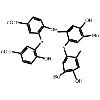 CCCCCCCCc1ccc(O)c(Sc2cc(CCCCCCCC)ccc2O)c1.Cc1cc(O)c(C(C)(C)C)cc1Sc1cc(C(C)(C)C)c(O)cc1C